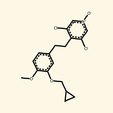 COc1ccc([CH]Cc2c(Cl)c[n+]([O-])cc2Cl)cc1OCC1CC1